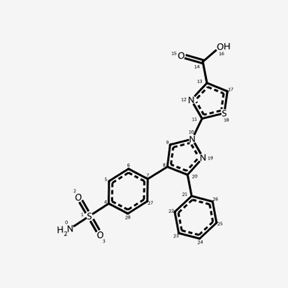 NS(=O)(=O)c1ccc(-c2cn(-c3nc(C(=O)O)cs3)nc2-c2ccccc2)cc1